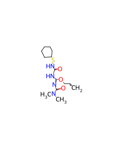 C=CCOC(=NC(=O)N(C)C)NC(=O)NSC1CCCCC1